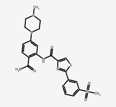 CN1CCN(c2ccc(C(N)=O)c(NC(=O)c3csc(-c4cccc(S(C)(=O)=O)c4)n3)c2)CC1